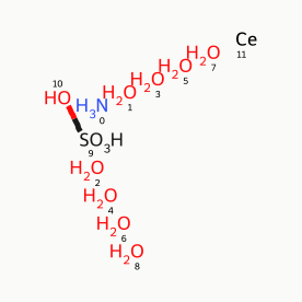 N.O.O.O.O.O.O.O.O.O=S(=O)(O)O.[Ce]